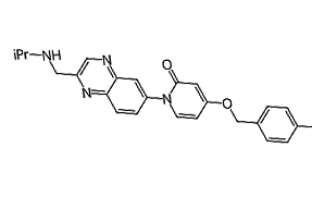 CC(C)NCc1cnc2cc(-n3ccc(OCc4ccc(F)cc4)cc3=O)ccc2n1